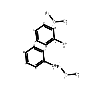 CCOCC.CCOCC.Oc1ccccc1.Sc1ccccc1